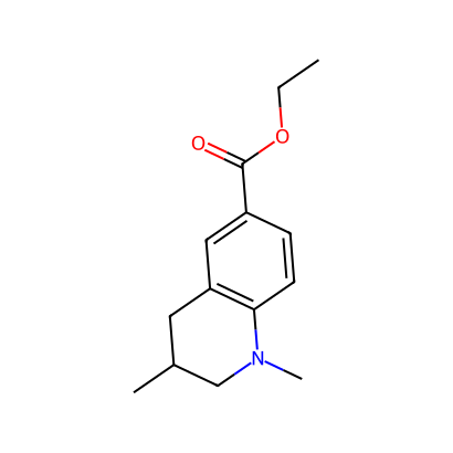 CCOC(=O)c1ccc2c(c1)CC(C)CN2C